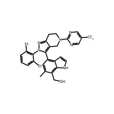 CCc1cccc(CC)c1-n1nc2c(c1-c1cc(C)c(CO)c3[nH]ccc13)CN(c1ncc(C(F)(F)F)cn1)CC2